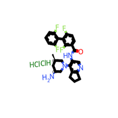 C[C@@H]1C[C@H](N)CN(c2c(NC(=O)c3ccc(F)c(-c4c(F)cccc4F)c3F)cnc3c2CCC3)C1.Cl.Cl